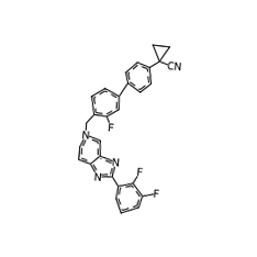 N#CC1(c2ccc(-c3ccc(Cn4ccc5nc(-c6cccc(F)c6F)nc-5c4)c(F)c3)cc2)CC1